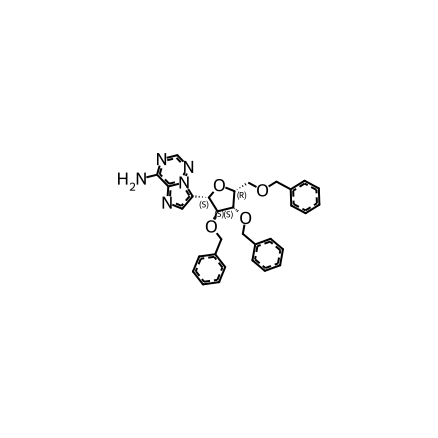 Nc1ncnn2c([C@@H]3O[C@H](COCc4ccccc4)[C@H](OCc4ccccc4)[C@H]3OCc3ccccc3)cnc12